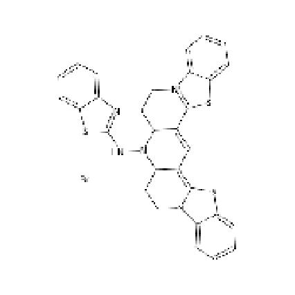 C1=C2c3sc4ccccc4[n+]3CCC2N(Nc2nc3ccccc3s2)C2CCN3C(=C12)Sc1ccccc13.[Br-]